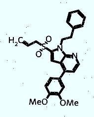 C=CCS(=O)(=O)c1cc2c(-c3ccc(OC)c(OC)c3)ccnc2n1CCc1ccccc1